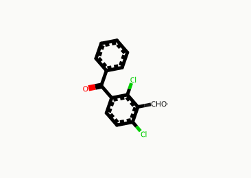 O=[C]c1c(Cl)ccc(C(=O)c2ccccc2)c1Cl